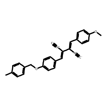 [C-]#[N+]C(=C\c1ccc(OC)cc1)/C(=C/c1ccc(OCc2ccc(C)cc2)cc1)[N+]#[C-]